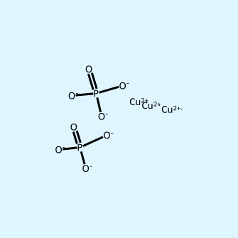 O=P([O-])([O-])[O-].O=P([O-])([O-])[O-].[Cu+2].[Cu+2].[Cu+2]